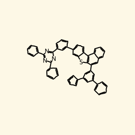 C1=CC=C(c2cc(-c3ccccc3)cc(-c3cc4ccccc4c4c3sc3cc(-c5cccc(-c6nc(-c7ccccc7)nc(-c7ccccc7)n6)c5)ccc34)c2)C=1